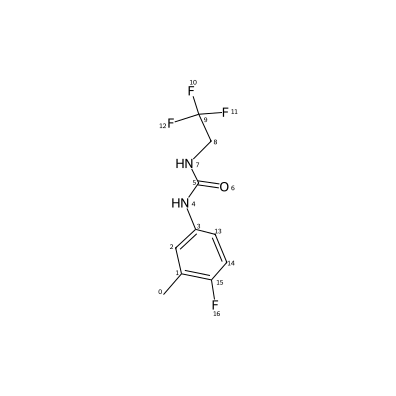 Cc1cc(NC(=O)NCC(F)(F)F)ccc1F